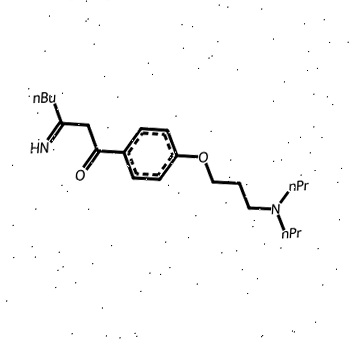 CCCCC(=N)CC(=O)c1ccc(OCCCN(CCC)CCC)cc1